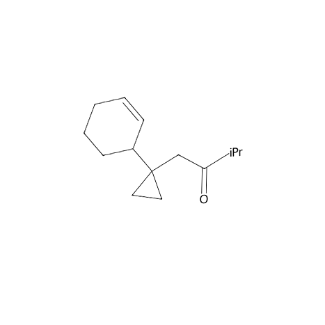 CC(C)C(=O)CC1(C2C=CCCC2)CC1